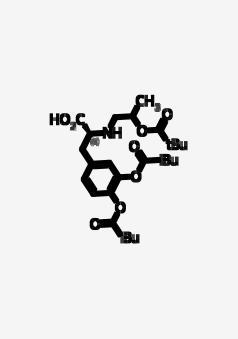 CCC(C)C(=O)Oc1ccc(C[C@H](NCC(C)OC(=O)C(C)(C)C)C(=O)O)cc1OC(=O)C(C)CC